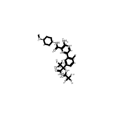 CO[C@H]1CC[C@H](NC(=O)c2nc(-c3cc(C(OC(=O)C(F)(F)F)(C(N)=O)C(F)(F)F)ccc3C)cnc2N)CC1